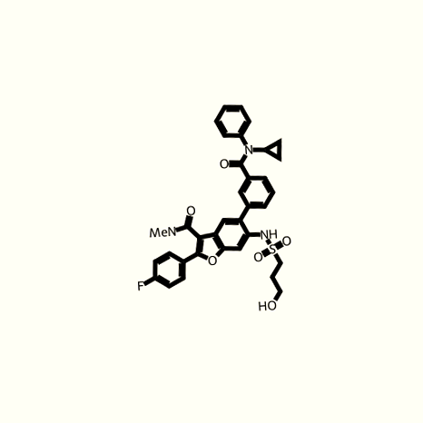 CNC(=O)c1c(-c2ccc(F)cc2)oc2cc(NS(=O)(=O)CCCO)c(-c3cccc(C(=O)N(c4ccccc4)C4CC4)c3)cc12